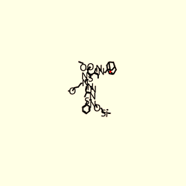 CCOC(=O)c1nc(N(CCCOC)c2cc(C)c(/N=c3\sc4ccccc4n3COCC[Si](C)(C)C)nn2)sc1-c1cnn(CC23CC4CC(CC(C4)C2)C3)c1C